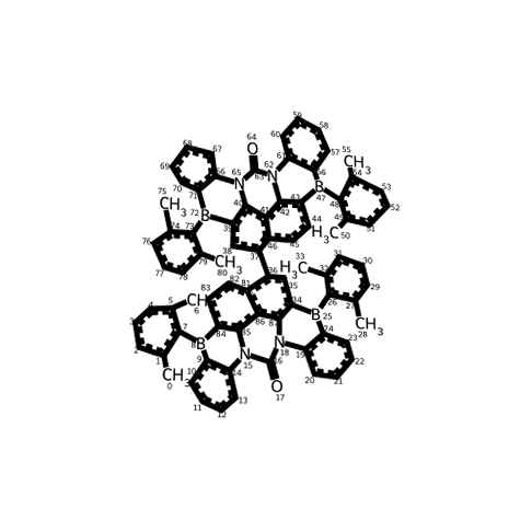 Cc1cccc(C)c1B1c2ccccc2N2C(=O)N3c4ccccc4B(c4c(C)cccc4C)c4cc(-c5cc6c7c8c9c(ccc58)B(c5c(C)cccc5C)c5ccccc5N9C(=O)N7c5ccccc5B6c5c(C)cccc5C)c5ccc1c2c5c43